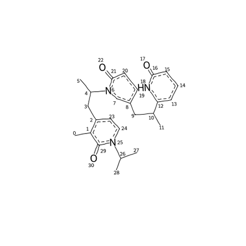 Cc1c(CC(C)n2cc(CC(C)c3cccc(=O)[nH]3)ccc2=O)ccn(C(C)C)c1=O